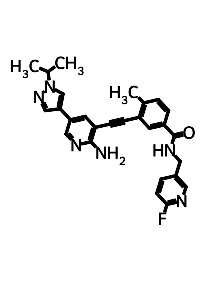 Cc1ccc(C(=O)NCc2ccc(F)nc2)cc1C#Cc1cc(-c2cnn(C(C)C)c2)cnc1N